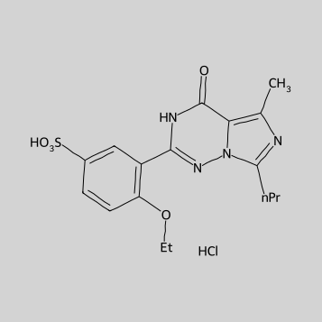 CCCc1nc(C)c2c(=O)[nH]c(-c3cc(S(=O)(=O)O)ccc3OCC)nn12.Cl